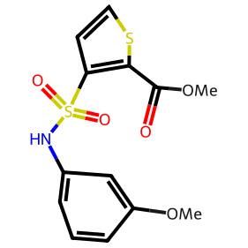 COC(=O)c1sccc1S(=O)(=O)Nc1cccc(OC)c1